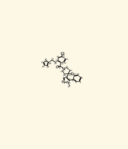 Cn1ncc2c1-c1ccccc1OC21CCN(C(=O)c2ccc(Cl)cc2CCc2cccs2)CC1